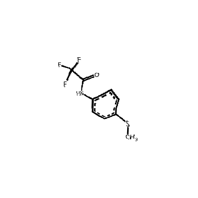 CSc1ccc(NC(=O)C(F)(F)F)cc1